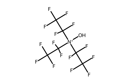 O[N+](C(F)(F)C(F)(F)F)(C(F)(F)C(F)(F)F)C(F)(F)C(F)(F)F